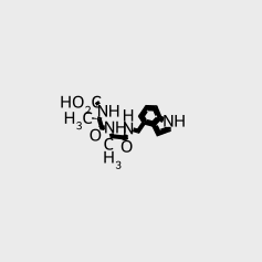 C[C@H](NC(=O)O)C(=O)N[C@@H](C)C(=O)NCc1cccc2[nH]ccc12